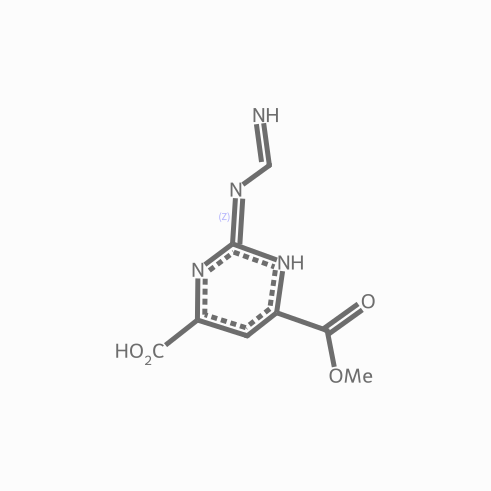 COC(=O)c1cc(C(=O)O)n/c(=N/C=N)[nH]1